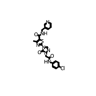 Cc1nc(-n2cnn(CC(=O)Nc3ccc(Cl)cc3)c2=O)sc1C(=O)NCc1cccnc1